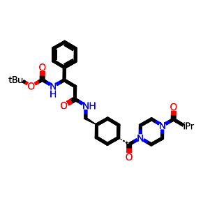 CC(C)C(=O)N1CCN(C(=O)[C@H]2CC[C@H](CNC(=O)CC(NC(=O)OC(C)(C)C)c3ccccc3)CC2)CC1